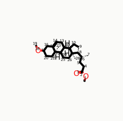 COC(=O)CC[C@@H](C)[C@H]1CC[C@H]2[C@@H]3CC=C4CC(OC)CC[C@]4(C)[C@H]3CC[C@]12C